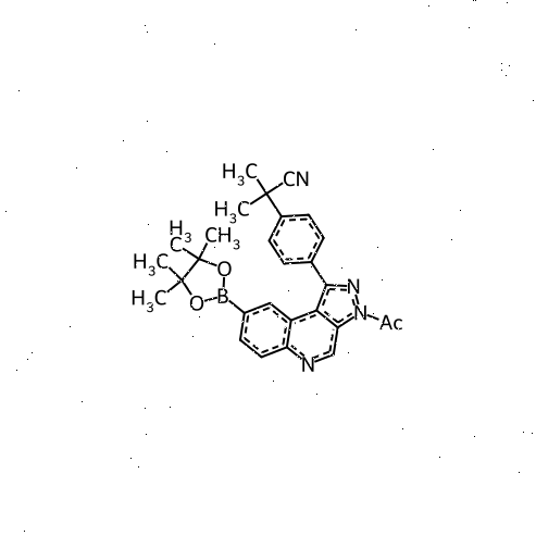 CC(=O)n1nc(-c2ccc(C(C)(C)C#N)cc2)c2c3cc(B4OC(C)(C)C(C)(C)O4)ccc3ncc21